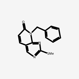 CSc1ncc2ccc(=O)n(Cc3ccccc3)c2n1